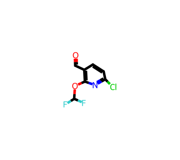 O=Cc1ccc(Cl)nc1OC(F)F